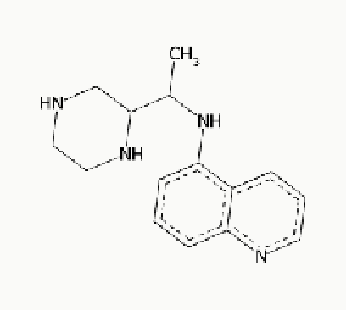 CC(Nc1cccc2ncccc12)C1CNCCN1